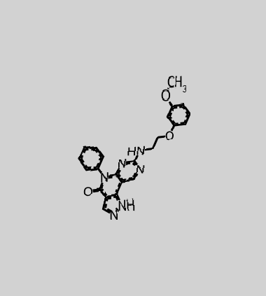 COc1cccc(OCCNc2ncc3c4[nH]ncc4c(=O)n(-c4ccccc4)c3n2)c1